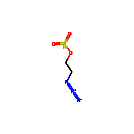 [N-]=[N+]=NCCO[SH](=O)=O